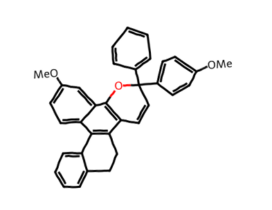 COc1ccc(C2(c3ccccc3)C=Cc3c4c(c5ccc(OC)cc5c3O2)-c2ccccc2CC4)cc1